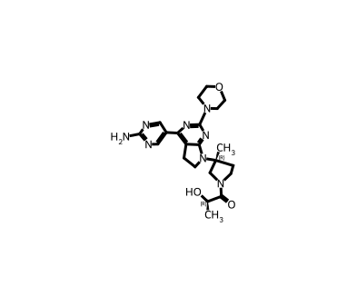 C[C@@H](O)C(=O)N1CC[C@@](C)(N2CCc3c(-c4cnc(N)nc4)nc(N4CCOCC4)nc32)C1